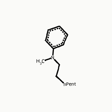 CCCCCCCN(C)c1[c]cccc1